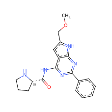 COCc1cc2c(NC(=O)[C@@H]3CCCN3)nc(-c3ccccc3)nc2[nH]1